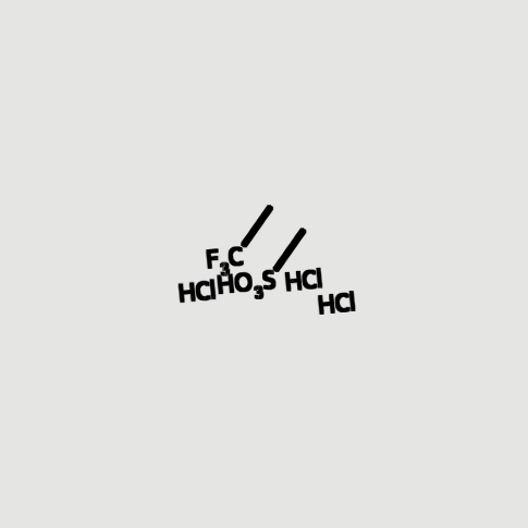 CC(F)(F)F.CS(=O)(=O)O.Cl.Cl.Cl